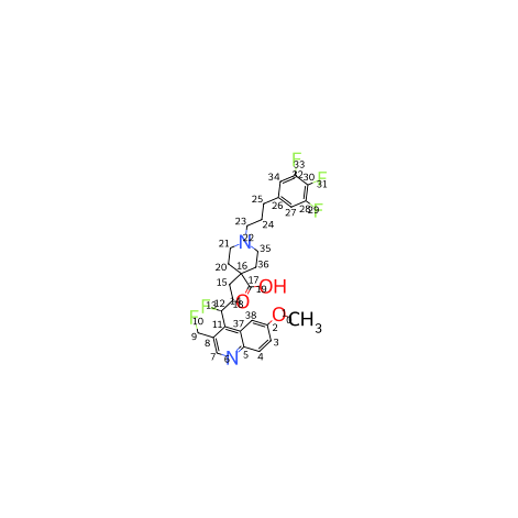 COc1ccc2ncc(CF)c([C@@H](F)CCC3(C(=O)O)CCN(CCCc4cc(F)c(F)c(F)c4)CC3)c2c1